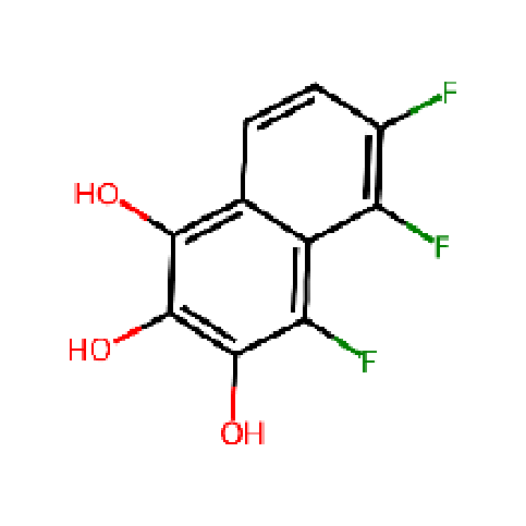 Oc1c(O)c(F)c2c(F)c(F)ccc2c1O